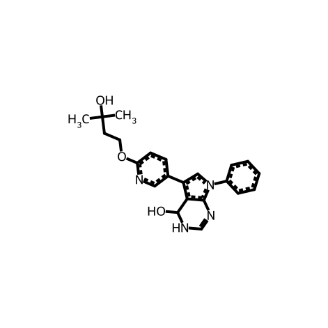 CC(C)(O)CCOc1ccc(-c2cn(-c3ccccc3)c3c2C(O)NC=N3)cn1